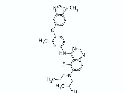 CCCN(CC(C)C)c1ccc2ncnc(Nc3ccc(Oc4ccc5c(c4)ncn5C)c(C)c3)c2c1F